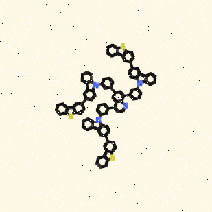 c1cc(-c2cc(-c3cccc(-n4c5ccccc5c5cc(-c6ccc7sc8ccccc8c7c6)ccc54)c3)c3nccc(-c4cccc(-n5c6ccccc6c6cc(-c7ccc8sc9ccccc9c8c7)ccc65)c4)c3c2)cc(-n2c3ccccc3c3cc(-c4ccc5sc6ccccc6c5c4)ccc32)c1